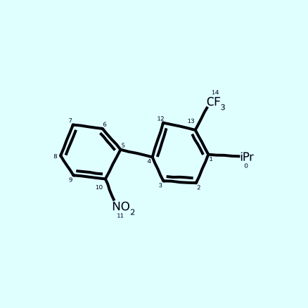 CC(C)c1ccc(-c2ccccc2[N+](=O)[O-])cc1C(F)(F)F